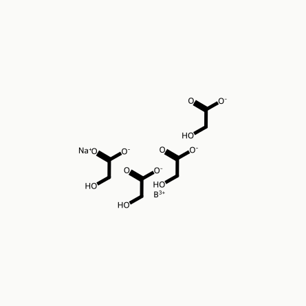 O=C([O-])CO.O=C([O-])CO.O=C([O-])CO.O=C([O-])CO.[B+3].[Na+]